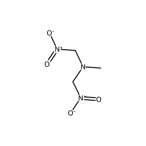 CN(C[N+](=O)[O-])C[N+](=O)[O-]